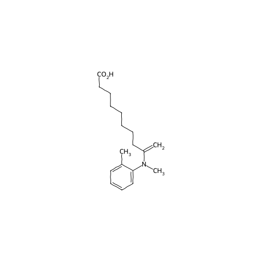 C=C(CCCCCCCC(=O)O)N(C)c1ccccc1C